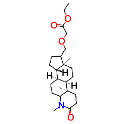 CCOC(=O)COCC1CC[C@H]2[C@@H]3CCC4N(C)C(=O)CC[C@]4(C)[C@@H]3CC[C@]12C